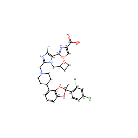 Cc1nc(CN2CCC(c3cccc4c3OC(C)(c3ccc(Cl)cc3F)O4)CC2)n(CC2CCO2)c1-c1nc(C(=O)O)co1